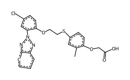 Cc1cc(SCCOc2ccc(Cl)cc2-n2nc3ccccc3n2)ccc1OCC(=O)O